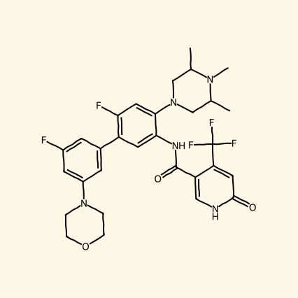 CC1CN(c2cc(F)c(-c3cc(F)cc(N4CCOCC4)c3)cc2NC(=O)c2c[nH]c(=O)cc2C(F)(F)F)CC(C)N1C